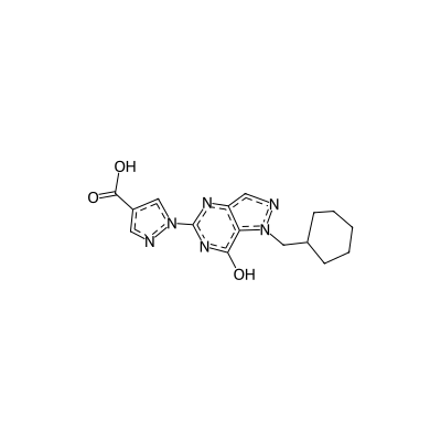 O=C(O)c1cnn(-c2nc(O)c3c(cnn3CC3CCCCC3)n2)c1